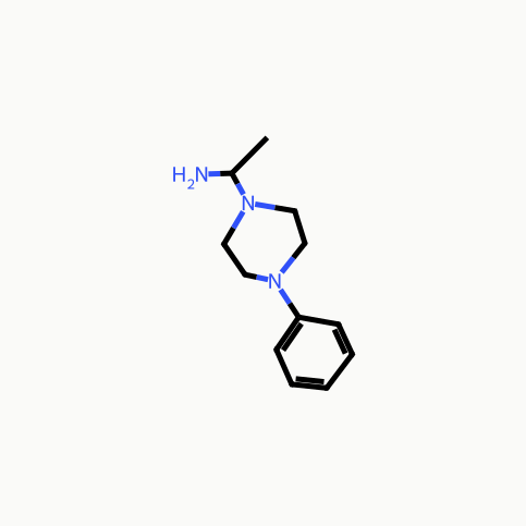 CC(N)N1CCN(c2ccccc2)CC1